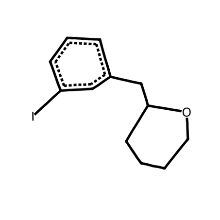 Ic1cccc(CC2CCCCO2)c1